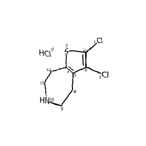 Cl.Clc1sc2c(c1Cl)CCNCC2